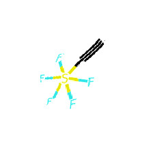 [C]#CS(F)(F)(F)(F)F